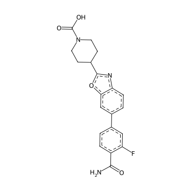 NC(=O)c1ccc(-c2ccc3nc(C4CCN(C(=O)O)CC4)oc3c2)cc1F